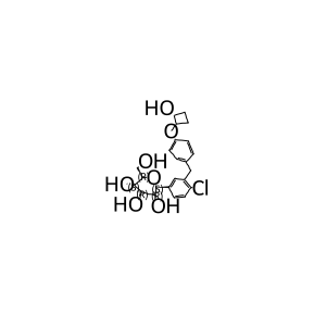 OC[C@H]1O[C@@H](c2ccc(Cl)c(Cc3ccc(OC4CCC4O)cc3)c2)[C@H](O)[C@@H](O)[C@@H]1O